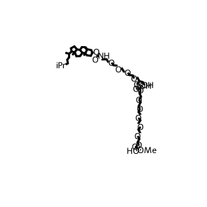 COP(=O)(O)OCCOCCOCCOCCOCCOCCOP(=O)(O)OC(CO)COCCOCCOCCOCCCNC(=O)OC1CCC2(C)C(=CCC3C2CCC2(C)C(C(C)CCCC(C)C)CCC32)C1